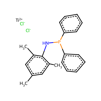 Cc1cc(C)c(NP(c2ccccc2)c2ccccc2)c(C)c1.[Cl-].[Cl-].[Ti+2]